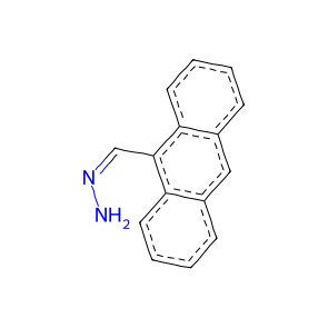 N/N=C\c1c2ccccc2cc2ccccc12